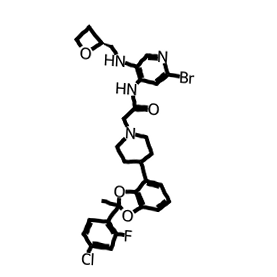 CC1(c2ccc(Cl)cc2F)Oc2cccc(C3CCN(CC(=O)Nc4cc(Br)ncc4NC[C@@H]4CCO4)CC3)c2O1